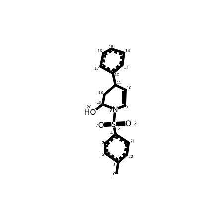 Cc1ccc(S(=O)(=O)N2C=CC(c3ccccc3)CC2O)cc1